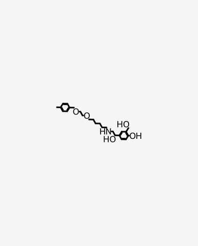 Cc1ccc(COCCOCCCCCCNC[C@H](O)c2ccc(O)c(CO)c2)cc1